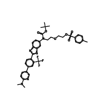 Cc1ccc(S(=O)(=O)OCCOCCN(C(=O)OC(C)(C)C)c2ccc3nc(-c4ccc(-c5ccc(N(C)C)nc5)cc4C(F)(F)F)sc3c2)cc1